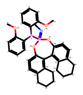 CN=P1(P(c2ccccc2OC)c2ccccc2OC)OC2=C=C=C3CCCCC3=C2C2=C3CCCCC3=C=C=C2O1